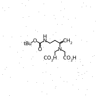 C=C(CCNC(=O)OC(C)(C)C)N(CC(=O)O)CC(=O)O